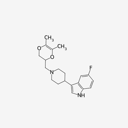 CC1=C(C)OC(CN2CCC(c3c[nH]c4ccc(F)cc34)CC2)CO1